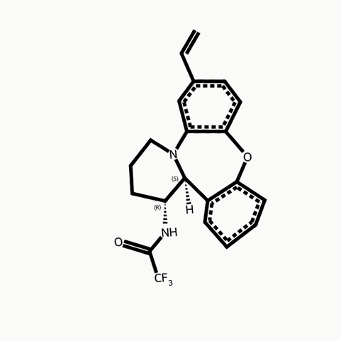 C=Cc1ccc2c(c1)N1CCC[C@@H](NC(=O)C(F)(F)F)[C@@H]1c1ccccc1O2